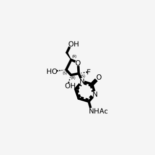 CC(=O)Nc1ccn([C@]2(F)O[C@H](CO)[C@@H](O)[C@H]2O)c(=O)n1